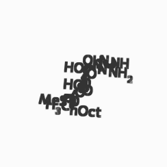 CCCCCCCCC(C)O[C@H](COP(=O)(O)OCC1OC(n2cnc(C(=N)N)n2)C(O)C1O)CSC